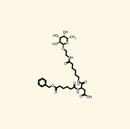 C[C@@H]1O[C@@H](OCCNC(=O)CCCCCNC(=O)C(CC(=O)O)NC(=O)CCCCC(=O)OCc2ccccc2)[C@@H](O)[C@H](O)[C@@H]1O